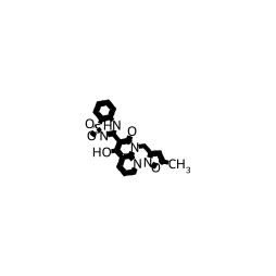 Cc1cc(Cn2c(=O)c(C3=NS(=O)(=O)c4ccccc4N3)c(O)c3cccnc32)no1